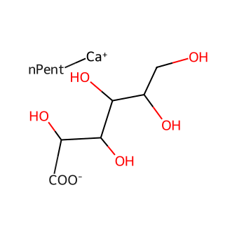 CCCC[CH2][Ca+].O=C([O-])C(O)C(O)C(O)C(O)CO